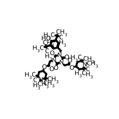 CN1C(C)(C)CC(OC(=O)Cn2c(=O)n(CC(=O)OC3CC(C)(C)N(C)C(C)(C)C3)c(=O)n(Cc3cc(C(C)(C)C)c(O)c(C(C)(C)C)c3)c2=O)CC1(C)C